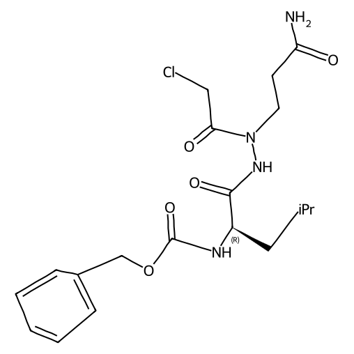 CC(C)C[C@@H](NC(=O)OCc1ccccc1)C(=O)NN(CCC(N)=O)C(=O)CCl